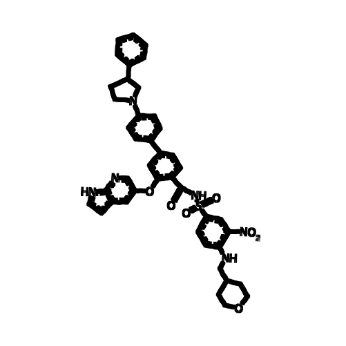 O=C(NS(=O)(=O)c1ccc(NCC2CCOCC2)c([N+](=O)[O-])c1)c1ccc(-c2ccc(N3CCC(c4ccccc4)C3)cc2)cc1Oc1cnc2[nH]ccc2c1